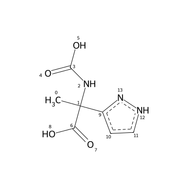 CC(NC(=O)O)(C(=O)O)c1cc[nH]n1